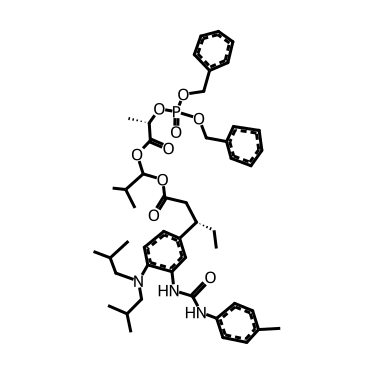 CC[C@@H](CC(=O)OC(OC(=O)[C@H](C)OP(=O)(OCc1ccccc1)OCc1ccccc1)C(C)C)c1ccc(N(CC(C)C)CC(C)C)c(NC(=O)Nc2ccc(C)cc2)c1